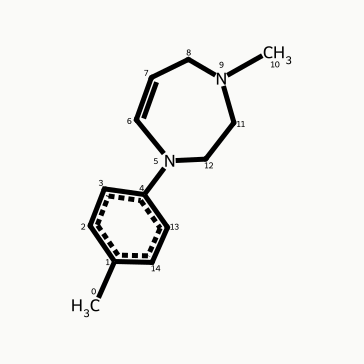 Cc1ccc(N2C=CCN(C)CC2)cc1